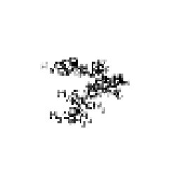 Cc1nn(C(=O)OC(C)(C)C)c(C)c1-c1ccc(NC(=O)C(NC(=O)c2ccnn2CC2CN(C(=O)OC(C)(C)C)C2)C(C2CC2)C2CC2)cc1